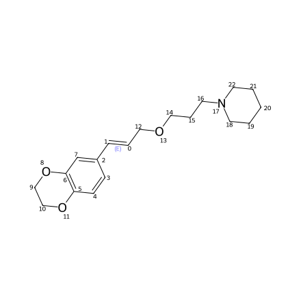 C(=C\c1ccc2c(c1)OCCO2)/COCCCN1CCCCC1